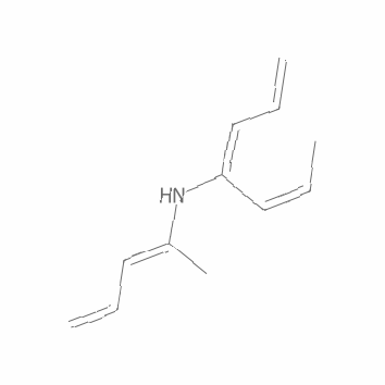 C=C/C=C(\C)NC(/C=C\C)=C/C=C